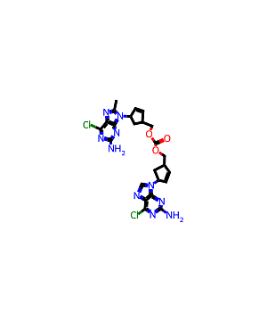 Cc1nc2c(Cl)nc(N)nc2n1C1C=CC(COC(=O)OCC2C=CC(n3cnc4c(Cl)nc(N)nc43)C2)C1